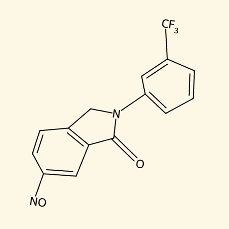 O=Nc1ccc2c(c1)C(=O)N(c1cccc(C(F)(F)F)c1)C2